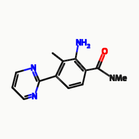 CNC(=O)c1ccc(-c2ncccn2)c(C)c1N